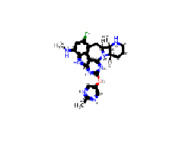 CNc1cc(F)c2c3c1[nH]c1nc(Oc4cnc(C)nc4)nc(c13)N1[C@H]3CCCN[C@H]3[C@@H]1C2